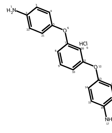 Cl.Nc1ccc(Oc2cccc(Oc3ccc(N)cc3)c2)cc1